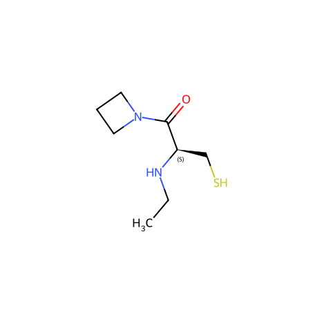 CCN[C@H](CS)C(=O)N1CCC1